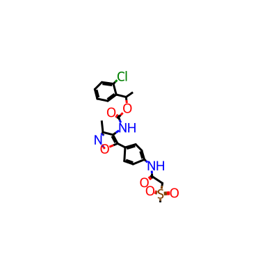 Cc1noc(-c2ccc(NC(=O)CS(C)(=O)=O)cc2)c1NC(=O)OC(C)c1ccccc1Cl